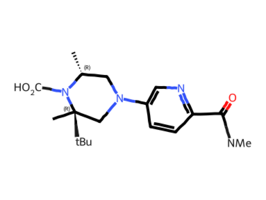 CNC(=O)c1ccc(N2C[C@@H](C)N(C(=O)O)[C@](C)(C(C)(C)C)C2)cn1